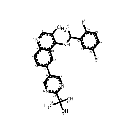 CC(Nc1c(Cl)cnc2ccc(-c3cnc(C(C)(C)O)nc3)cc12)c1cc(Br)ccc1F